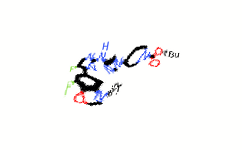 CC(C)N1CCOc2c(F)cc(-c3nc(Nc4cn(C5CCN(C(=O)OC(C)(C)C)CC5)cn4)ncc3F)cc21